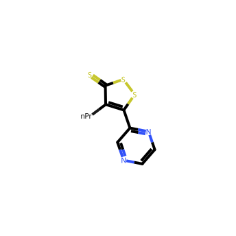 CCCc1c(-c2cnccn2)ssc1=S